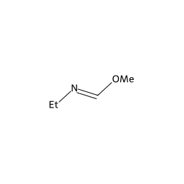 CCN=COC